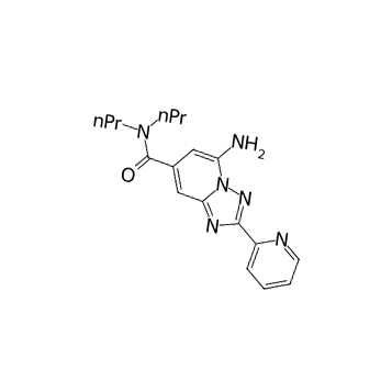 CCCN(CCC)C(=O)c1cc(N)n2nc(-c3ccccn3)nc2c1